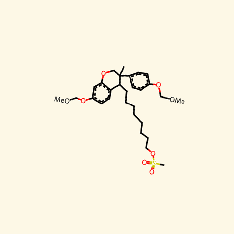 COCOc1ccc(C2(C)COc3cc(OCOC)ccc3C2CCCCCCCCOS(C)(=O)=O)cc1